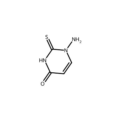 Nn1ccc(=O)[nH]c1=S